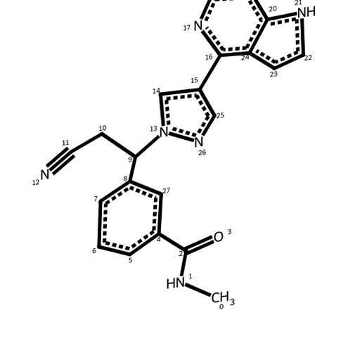 CNC(=O)c1cccc(C(CC#N)n2cc(-c3ncnc4[nH]ccc34)cn2)c1